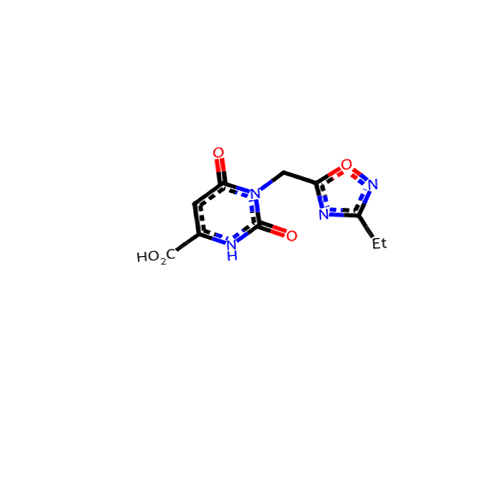 CCc1noc(Cn2c(=O)cc(C(=O)O)[nH]c2=O)n1